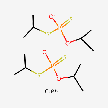 CC(C)OP([O-])(=S)SC(C)C.CC(C)OP([O-])(=S)SC(C)C.[Cu+2]